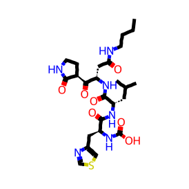 CCCCNC(=O)C[C@H](NC(=O)[C@H](CC(C)C)NC(=O)[C@H](Cc1cscn1)NC(=O)O)C(=O)[C@@H]1CCNC1=O